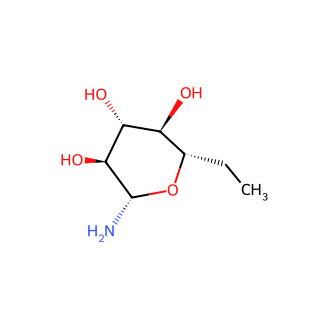 CC[C@@H]1O[C@H](N)[C@@H](O)[C@H](O)[C@H]1O